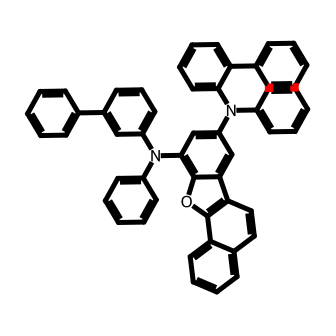 c1ccc(-c2cccc(N(c3ccccc3)c3cc(N(c4ccccc4)c4ccccc4-c4ccccc4)cc4c3oc3c5ccccc5ccc43)c2)cc1